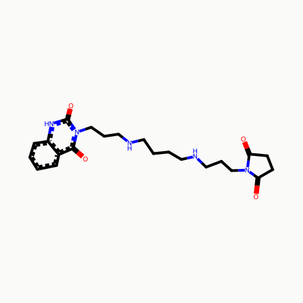 O=C1CCC(=O)N1CCCNCCCCNCCCn1c(=O)[nH]c2ccccc2c1=O